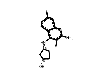 Nc1nc2cc(Br)ccc2c(N[C@H]2CC[C@H](O)C2)c1F